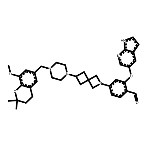 COc1cc(CN2CCN(C3CC4(C3)CN(c3ccc(C=O)c(Oc5cnc6[nH]ccc6c5)c3)C4)CC2)cc2c1OC(C)(C)CC2